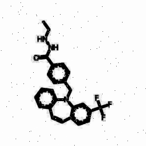 CCNNC(=O)c1ccc(CN2c3ccccc3C=Cc3ccc(C(F)(F)F)cc32)cc1